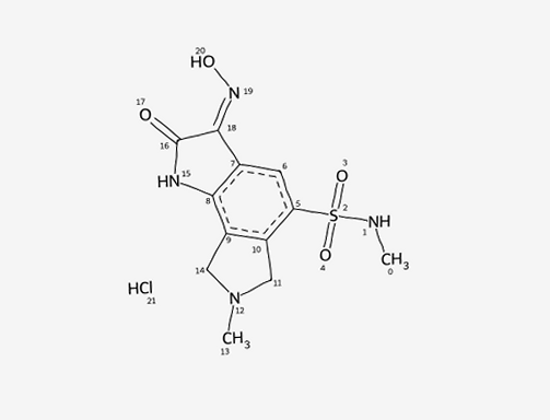 CNS(=O)(=O)c1cc2c(c3c1CN(C)C3)NC(=O)/C2=N\O.Cl